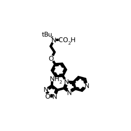 CC(C)(C)N(CCOc1ccc(-n2c(-c3nonc3N)nc3cnccc32)cc1)C(=O)O